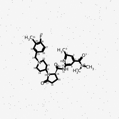 Cc1cc(C(=O)N(C)C)cc(NC(=O)[C@H]2CCC(=O)N2C2CCN(Cc3ccc(F)c(C)c3)CC2)n1